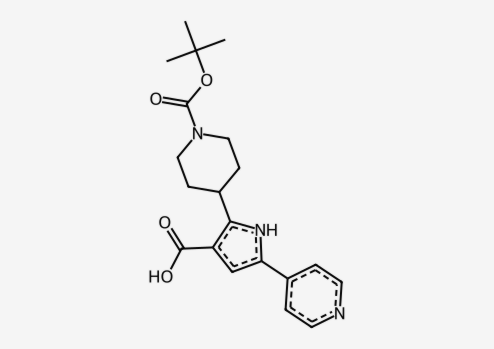 CC(C)(C)OC(=O)N1CCC(c2[nH]c(-c3ccncc3)cc2C(=O)O)CC1